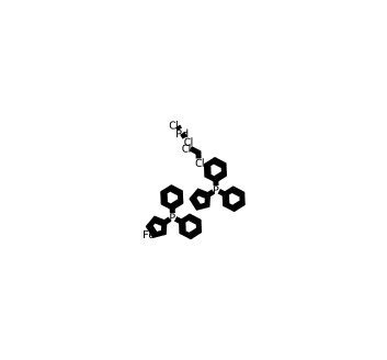 C1=CCC(P(c2ccccc2)c2ccccc2)=C1.C1=CCC(P(c2ccccc2)c2ccccc2)=C1.ClCCl.[Cl][Pd][Cl].[Fe]